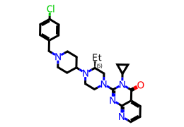 CC[C@H]1CN(c2nc3ncccc3c(=O)n2C2CC2)CCN1C1CCN(Cc2ccc(Cl)cc2)CC1